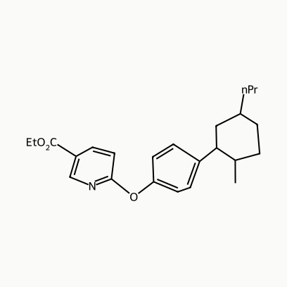 CCCC1CCC(C)C(c2ccc(Oc3ccc(C(=O)OCC)cn3)cc2)C1